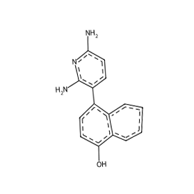 Nc1ccc(-c2ccc(O)c3ccccc23)c(N)n1